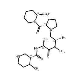 CC1CCNC[C@@H]1C(=O)N[C@H](C(=O)N(C)[C@H](CN1CCC[C@H]1C(=O)N1CCCC[C@H]1C(=O)O)C(C)C)C(C)(C)C